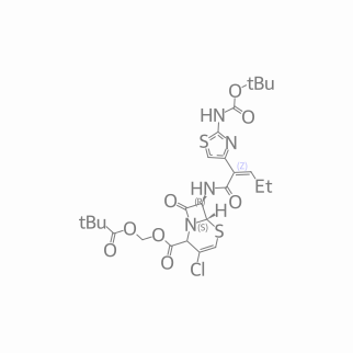 CC/C=C(\C(=O)N[C@@H]1C(=O)N2C(C(=O)OCOC(=O)C(C)(C)C)C(Cl)=CS[C@@H]12)c1csc(NC(=O)OC(C)(C)C)n1